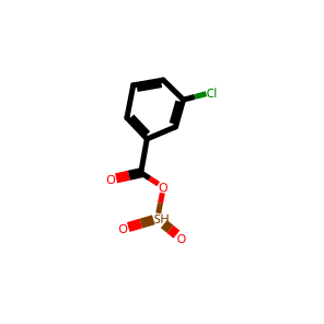 O=C(O[SH](=O)=O)c1cccc(Cl)c1